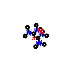 O=C(c1cc(-c2nc(-c3ccccc3)nc(-c3ccccc3)n2)cc(-c2nc(-c3ccccc3)nc(-c3ccccc3)n2)c1)c1cc(-c2nc(-c3ccccc3)nc(-c3ccccc3)n2)cc(-c2nc(-c3ccccc3)nc(-c3ccccc3)n2)c1